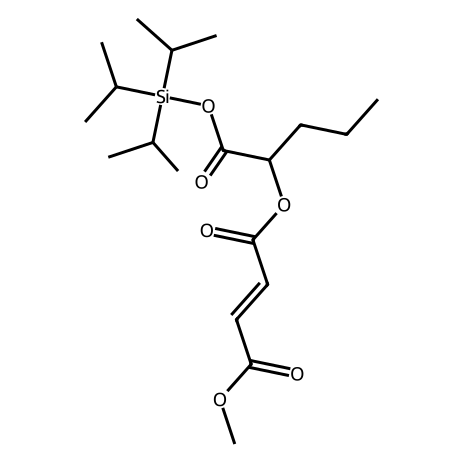 CCCC(OC(=O)C=CC(=O)OC)C(=O)O[Si](C(C)C)(C(C)C)C(C)C